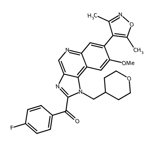 COc1cc2c(cc1-c1c(C)noc1C)ncc1nc(C(=O)c3ccc(F)cc3)n(CC3CCOCC3)c12